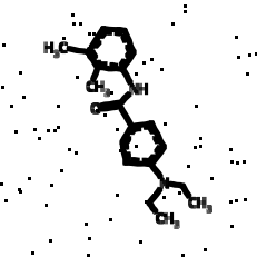 CCN(CC)c1ccc(C(=O)Nc2cccc(C)c2C)cc1